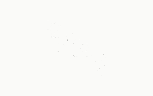 COc1cc(C=C2SC(N3CCCC3c3nc4ccc(C)cc4[nH]3)=NC2=O)ccc1OCc1ccc(C(F)(F)F)cc1C(F)(F)F